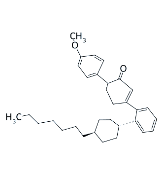 CCCCCCC[C@H]1CC[C@H](c2ccccc2C2=CC(=O)C(c3ccc(OC)cc3)CC2)CC1